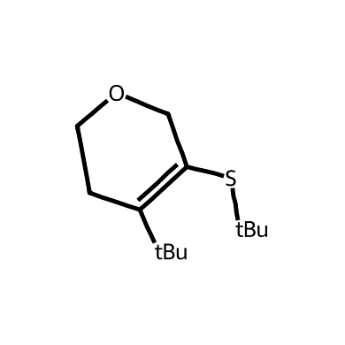 CC(C)(C)SC1=C(C(C)(C)C)CCOC1